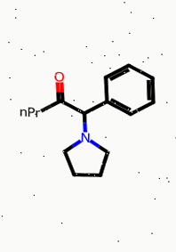 CCCC(=O)C(c1ccccc1)N1CCCC1